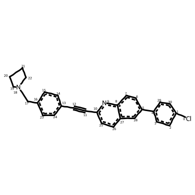 Clc1ccc(-c2ccc3nc(C#Cc4ccc(CN5CCCC5)cc4)ccc3c2)cc1